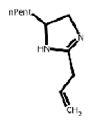 C=CCC1=NCC(CCCCC)N1